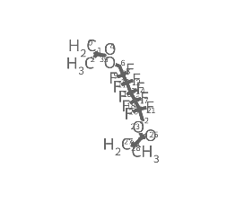 C=C(C)C(=O)OCC(F)(F)C(F)(F)C(F)(F)C(F)(F)C(F)(F)COC(=O)C(=C)C